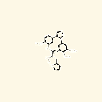 COc1ccc(-c2cnsc2-c2cc(OC)c(OC)c(OC)c2)cc1NC(=O)[C@H](Cc1ccc[nH]1)NCl